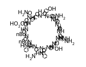 CCCC[C@H]1C(=O)N(C)[C@@H](CCCC)C(=O)N[C@@H](CCC(=O)O)C(=O)N[C@H](C(=O)NCC(N)=O)CSCC(=O)N[C@@H](Cc2ccc(O)cc2)C(=O)N(C)[C@@H](C)C(=O)N[C@@H](CC(N)=O)C(=O)N2CCC[C@H]2C(=O)N[C@@H](Cc2c[nH]cn2)C(=O)N[C@@H](CCCCN)C(=O)N2C[C@H](O)C[C@H]2C(=O)N[C@@H](Cc2c[nH]c3ccccc23)C(=O)N[C@@H](CCCCN)C(=O)N[C@@H](Cc2c[nH]c3ccccc23)C(=O)N1C